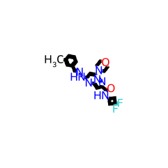 Cc1cccc(/C=N/Nc2cc(N3CCOCC3)n3nc(C(=O)NC4CC(F)(F)C4)cc3n2)c1